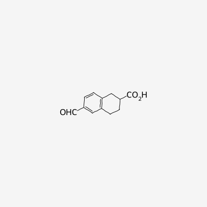 O=Cc1ccc2c(c1)CCC(C(=O)O)C2